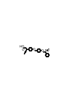 CC#CC(CC(=O)O)c1ccc(OCc2ccc(OCC(=NOC)c3ccccc3)cc2)cc1